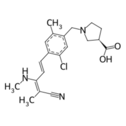 CNC(/C=C/c1cc(C)c(CN2CC[C@@H](C(=O)O)C2)cc1Cl)=C(\C)C#N